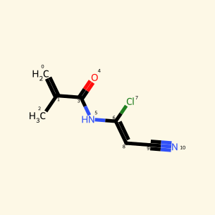 C=C(C)C(=O)NC(Cl)=CC#N